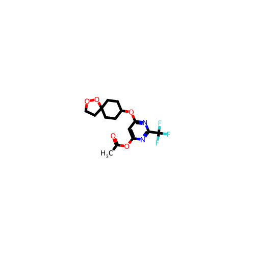 CC(=O)Oc1cc(OC2CCC3(CCOO3)CC2)nc(C(F)(F)F)n1